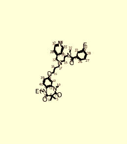 CCN1C(=O)C(C)(C)C(=O)N(C)c2cc(OCCCN(CCN(C)C(=O)c3cccc(F)c3)Cc3ccncc3)ccc21